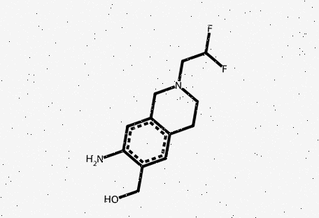 Nc1cc2c(cc1CO)CCN(CC(F)F)C2